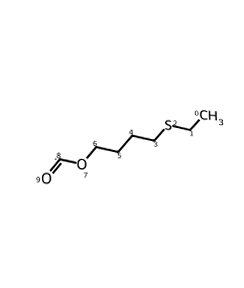 CCSCCCCO[C]=O